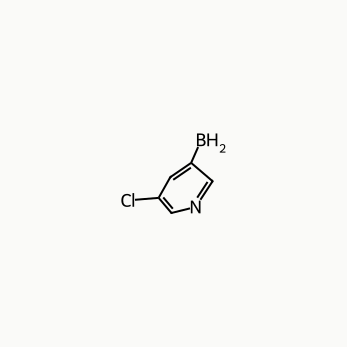 Bc1cncc(Cl)c1